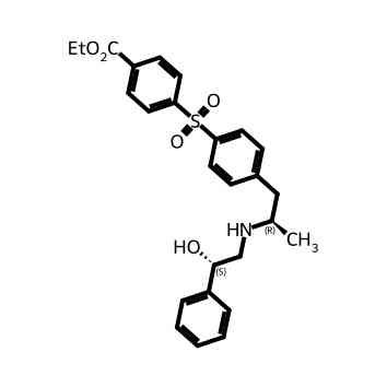 CCOC(=O)c1ccc(S(=O)(=O)c2ccc(C[C@@H](C)NC[C@@H](O)c3ccccc3)cc2)cc1